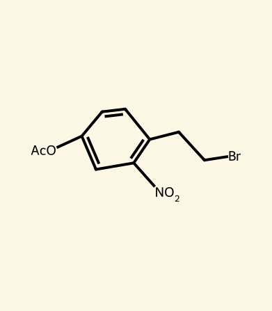 CC(=O)Oc1ccc(CCBr)c([N+](=O)[O-])c1